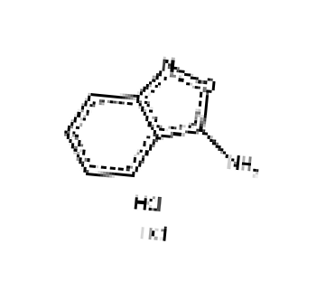 Cl.Cl.Nc1onc2ccccc12